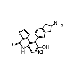 Cl.NC1Cc2ccc(-c3c(O)ccc4[nH]c(=O)c5sccc5c34)cc2C1